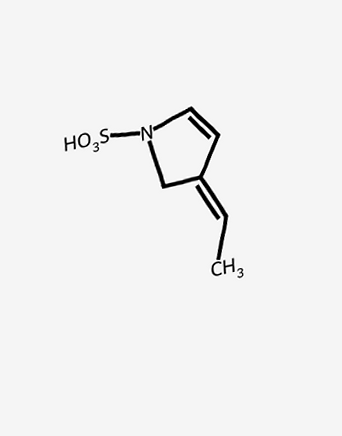 CC=C1C=CN(S(=O)(=O)O)C1